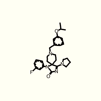 CC(C)Oc1cccc(CN2CCC3(CC2)C(N2CCCC2)=NC(=O)N3c2cccc(F)c2)c1